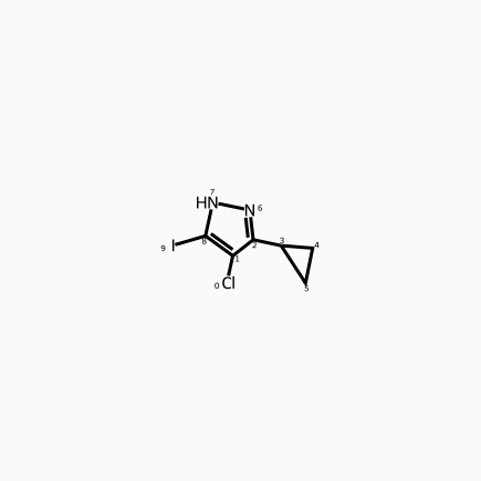 Clc1c(C2CC2)n[nH]c1I